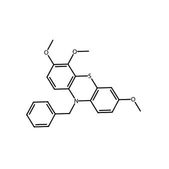 COc1ccc2c(c1)Sc1c(ccc(OC)c1OC)N2Cc1ccccc1